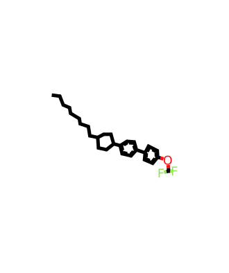 CCCCCCCCCC1CCC(c2ccc(-c3ccc(OC(F)F)cc3)cc2)CC1